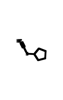 C#CSC1CCCC1